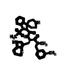 Cc1cccc(CN(C)C(=O)[C@H](Cc2c[nH]c3ccccc23)NC(=O)C2N(S(C)(=O)=O)c3ccccc3C23CCNCC3)c1